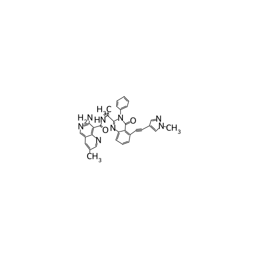 Cc1cnc2c(C(=O)N[C@@H](C)c3nc4cccc(C#Cc5cnn(C)c5)c4c(=O)n3-c3ccccc3)c(N)ncc2c1